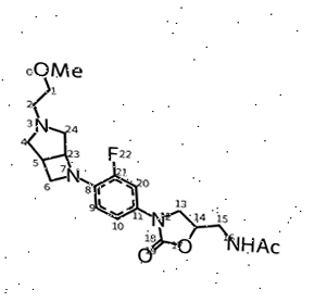 COCCN1CC2CN(c3ccc(N4CC(CNC(C)=O)OC4=O)cc3F)C2C1